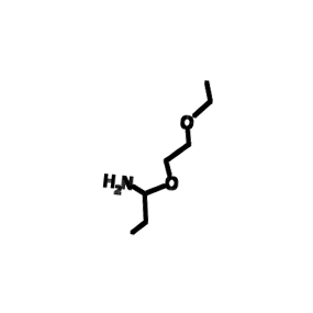 CCOCCOC(N)CC